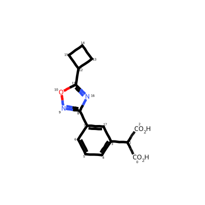 O=C(O)C(C(=O)O)c1cccc(-c2noc(C3CCC3)n2)c1